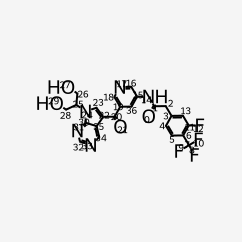 O=C(Cc1ccc(C(F)(F)F)c(F)c1)Nc1cncc(C(=O)c2cn(C(CO)CO)c3ncncc23)c1